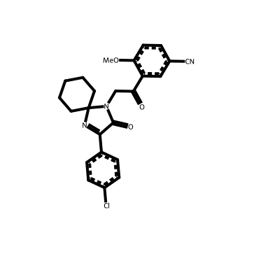 COc1ccc(C#N)cc1C(=O)CN1C(=O)C(c2ccc(Cl)cc2)=NC12CCCCC2